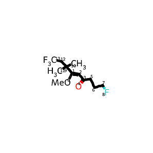 CO/C(=C\C(=O)CCCF)C(C)(C)CC(F)(F)F